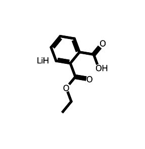 CCOC(=O)c1ccccc1C(=O)O.[LiH]